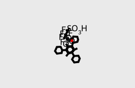 Cc1c(C2CCCCC2)c(C)c(C2CCCCC2)c(OS(=O)(=O)C(F)(F)C(F)(F)C(F)(F)S(=O)(=O)O)c1C1CCCCC1